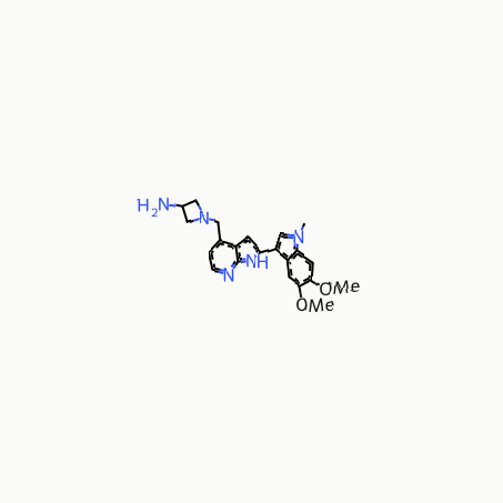 COc1cc2c(-c3cc4c(CN5CC(N)C5)ccnc4[nH]3)cn(C)c2cc1OC